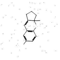 CSc1ccc2c(c1)C=C1CCCC1(C)N2